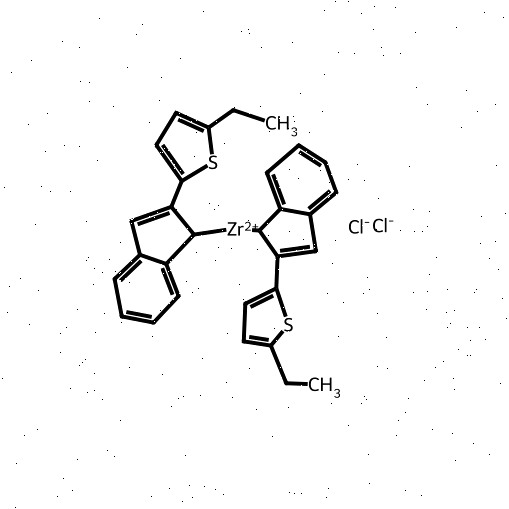 CCc1ccc(C2=Cc3ccccc3[CH]2[Zr+2][CH]2C(c3ccc(CC)s3)=Cc3ccccc32)s1.[Cl-].[Cl-]